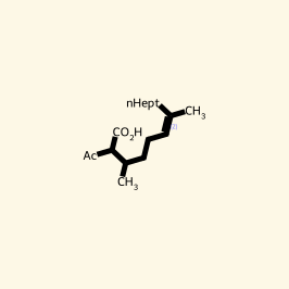 CCCCCCC/C(C)=C\CCC(C)C(C(C)=O)C(=O)O